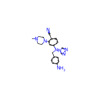 CN1CCN(c2cc(N(Cc3ccc(N)cc3)n3cnnc3)ccc2C#N)CC1